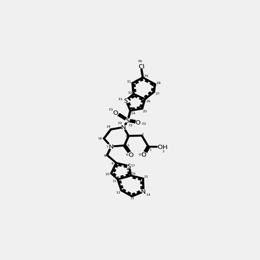 O=C(O)CC1C(=O)N(Cc2cc3ccncc3s2)CCN1S(=O)(=O)c1cc2ccc(Cl)cc2s1